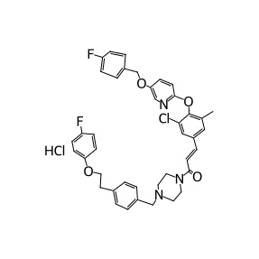 Cc1cc(C=CC(=O)N2CCN(Cc3ccc(CCOc4ccc(F)cc4)cc3)CC2)cc(Cl)c1Oc1ccc(OCc2ccc(F)cc2)cn1.Cl